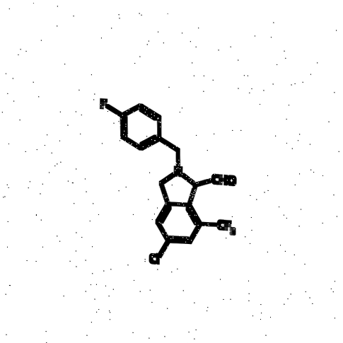 O=CC1c2c(cc(Cl)cc2C(F)(F)F)CN1Cc1ccc(F)cc1